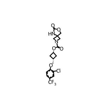 O=C1NC2(CO1)CN(C(=O)O[C@H]1C[C@@H](COc3ccc(C(F)(F)F)cc3Cl)C1)C2